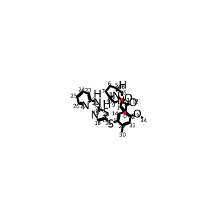 C=CC(=O)N1[C@@H]2CC[C@H]1CN(C(=O)c1cc(Sc3cnc(Nc4ccccn4)s3)c(C)cc1OC)C2